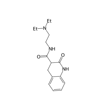 CCN(CC)CCNC(=O)C1Cc2ccccc2NC1=O